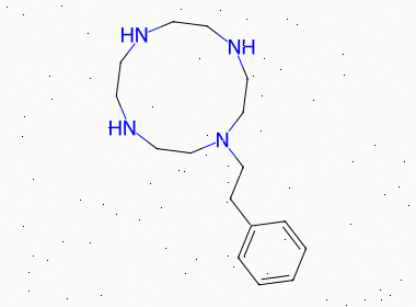 c1ccc(CCN2CCNCCNCCNCC2)cc1